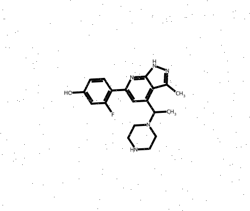 Cc1n[nH]c2nc(-c3ccc(O)cc3F)cc(C(C)N3CCNCC3)c12